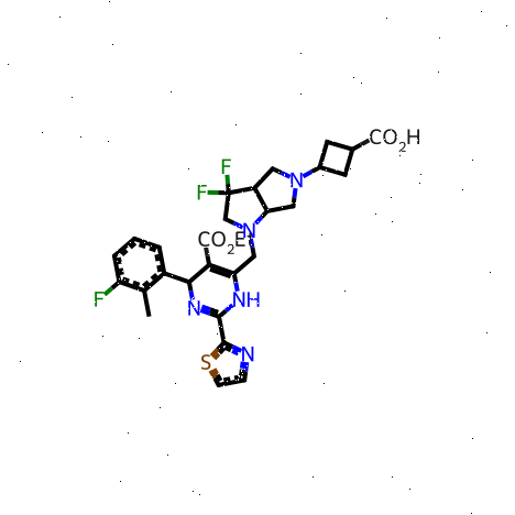 CCOC(=O)C1=C(CN2CC(F)(F)C3CN(C4CC(C(=O)O)C4)CC32)NC(c2nccs2)=NC1c1cccc(F)c1C